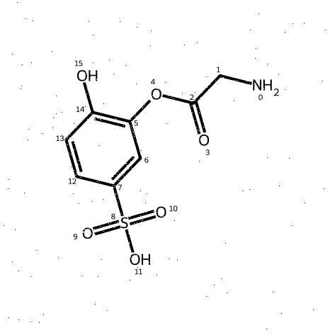 NCC(=O)Oc1cc(S(=O)(=O)O)ccc1O